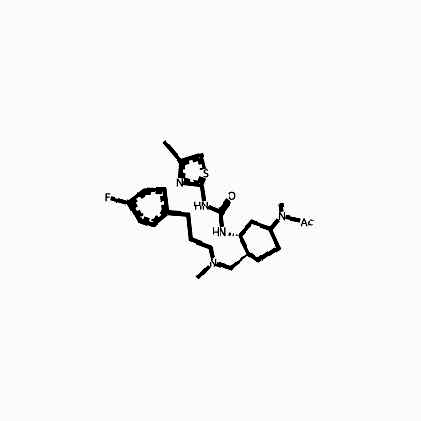 CC(=O)N(C)C1CC[C@@H](CN(C)CCCc2ccc(F)cc2)[C@H](NC(=O)Nc2nc(C)cs2)C1